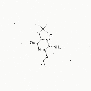 CCSC1=NC(=O)C(CC(C)(C)C)[N+](=O)N1N